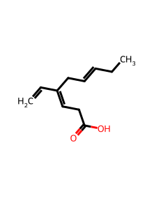 C=CC(=CCC(=O)O)CC=CCC